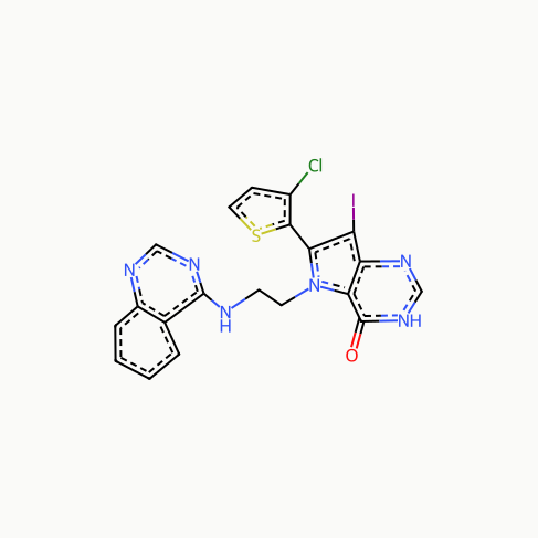 O=c1[nH]cnc2c(I)c(-c3sccc3Cl)n(CCNc3ncnc4ccccc34)c12